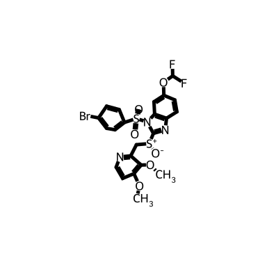 COc1ccnc(C[S+]([O-])c2nc3ccc(OC(F)F)cc3n2S(=O)(=O)c2ccc(Br)cc2)c1OC